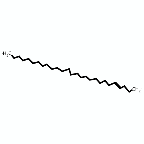 [CH2]CC/C=C/CCCCCCCCCCCCCCCCCCCCC[CH2]